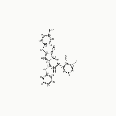 Cc1cccc(-c2cn3c(=O)c(Cc4ccc(F)cc4)nc-3c(Cc3ccccc3)[nH]2)c1F